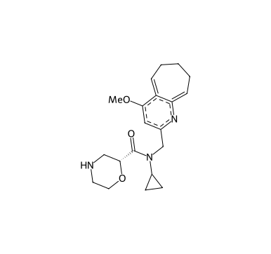 COc1cc(CN(C(=O)[C@H]2CNCCO2)C2CC2)nc2c1=CCCCC=2